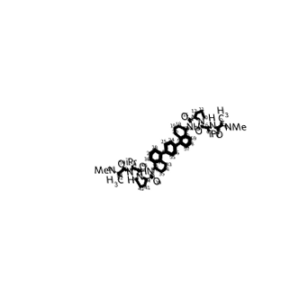 CN[C@@H](C)C(=O)NC(C(=O)N1CCC[C@H]1C(=O)N[C@@H]1CCCc2c(-c3ccc(-c4cccc5c4CCC[C@H]5NC(=O)[C@@H]4CCCN4C(=O)[C@@H](NC(=O)[C@H](C)NC)C(C)C)cc3)cccc21)C(C)C